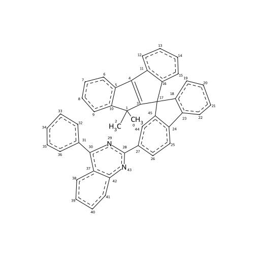 CC1(C)C2=C(c3ccccc31)c1ccccc1C21c2ccccc2-c2ccc(-c3nc(-c4ccccc4)c4ccccc4n3)cc21